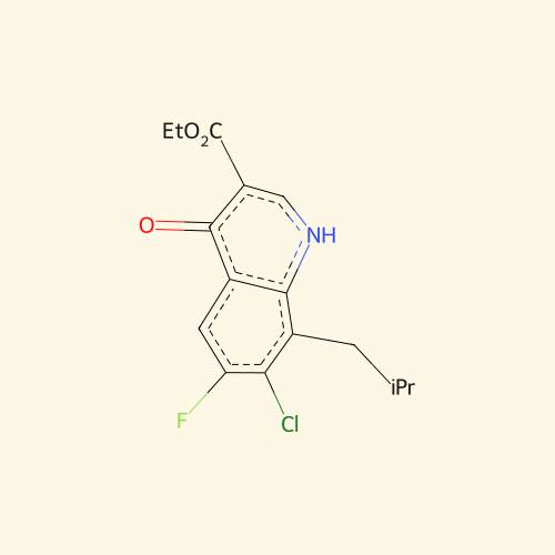 CCOC(=O)c1c[nH]c2c(CC(C)C)c(Cl)c(F)cc2c1=O